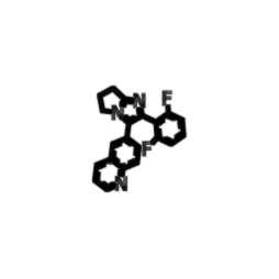 Fc1cccc(F)c1-c1nc2n(c1-c1ccc3ncccc3c1)CCC2